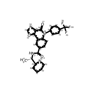 C[C@H](NC(=O)c1ccc2c(c1)c1ocnc1c(=O)n2-c1ccc(C(F)(F)F)cc1)c1ccccn1